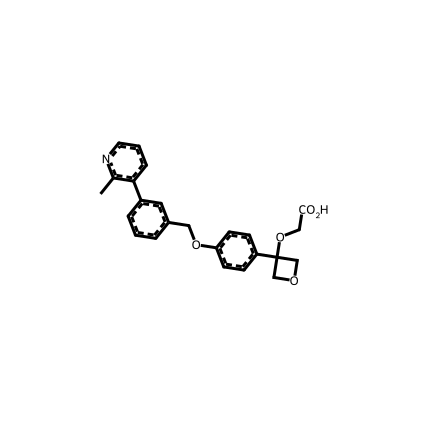 Cc1ncccc1-c1cccc(COc2ccc(C3(OCC(=O)O)COC3)cc2)c1